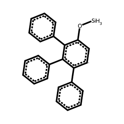 [SiH3]Oc1c[c]c(-c2ccccc2)c(-c2ccccc2)c1-c1ccccc1